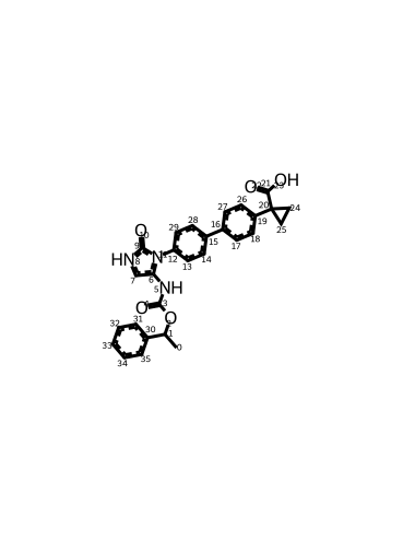 CC(OC(=O)Nc1c[nH]c(=O)n1-c1ccc(-c2ccc(C3(C(=O)O)CC3)cc2)cc1)c1ccccc1